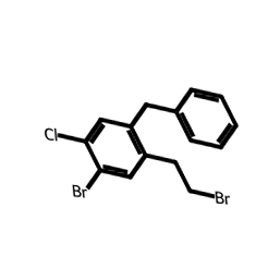 Clc1cc(Cc2ccccc2)c(CCBr)cc1Br